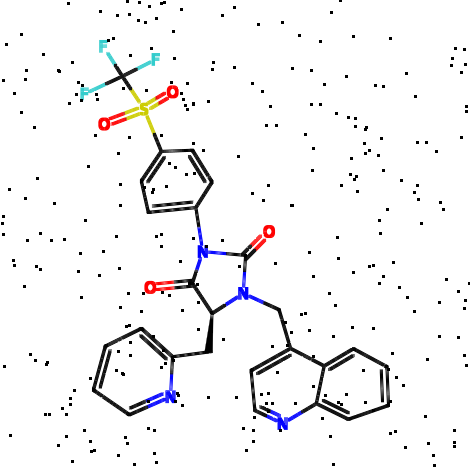 O=C1[C@H](Cc2ccccn2)N(Cc2ccnc3ccccc23)C(=O)N1c1ccc(S(=O)(=O)C(F)(F)F)cc1